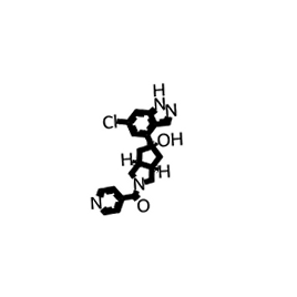 O=C(c1ccncc1)N1C[C@@H]2C[C@](O)(c3cc(Cl)cc4[nH]ncc34)C[C@@H]2C1